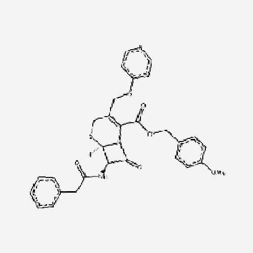 COc1ccc(COC(=O)C2=C(CSc3ccncc3)CS[C@@H]3[C@H](NC(=O)Cc4ccccc4)C(=O)N23)cc1